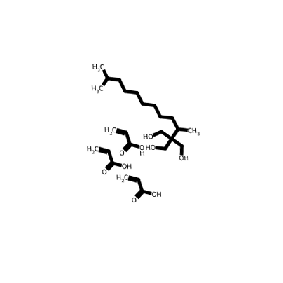 C=CC(=O)O.C=CC(=O)O.C=CC(=O)O.CC(C)CCCCCCCC(C)C(CO)(CO)CO